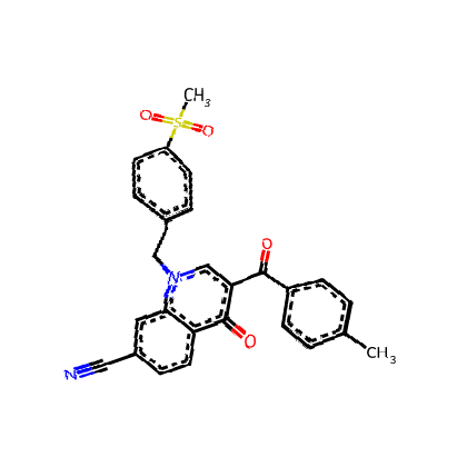 Cc1ccc(C(=O)c2cn(Cc3ccc(S(C)(=O)=O)cc3)c3cc(C#N)ccc3c2=O)cc1